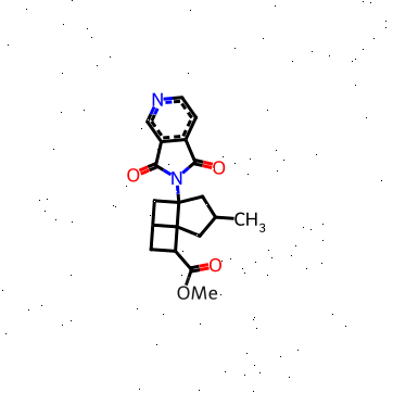 COC(=O)C1CC2CC3(N4C(=O)c5ccncc5C4=O)CC(C)CC213